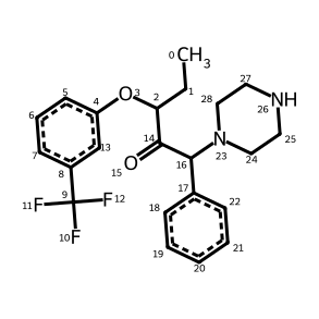 CCC(Oc1cccc(C(F)(F)F)c1)C(=O)C(c1ccccc1)N1CCNCC1